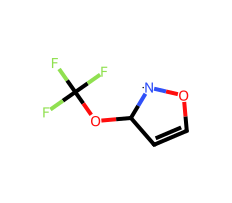 FC(F)(F)OC1C=CO[N]1